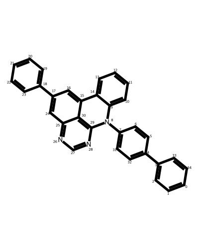 c1ccc(-c2ccc(N3c4ccccc4-c4cc(-c5ccccc5)cc5ncnc3c45)cc2)cc1